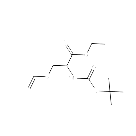 C=CSCC(NC(=O)OC(C)(C)C)C(=O)OCC